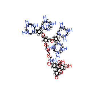 O=C(NCCOCCOCCOc1cc(COc2cc(CN3CCNCCNCCNCC3)cc(CN3CCNCCNCCNCC3)c2)cc(COc2cc(CN3CCNCCNCCNCC3)cc(CN3CCNCCNCCNCC3)c2)c1)c1ccc(-c2c3ccc(=O)cc-3oc3cc(O)ccc23)c(C(=O)O)c1